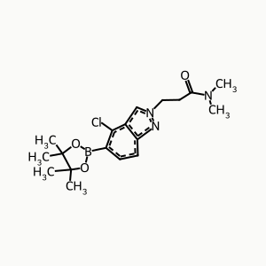 CN(C)C(=O)CCn1cc2c(Cl)c(B3OC(C)(C)C(C)(C)O3)ccc2n1